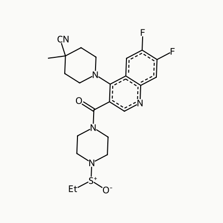 CC[S+]([O-])N1CCN(C(=O)c2cnc3cc(F)c(F)cc3c2N2CCC(C)(C#N)CC2)CC1